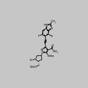 CNc1c(C(N)=O)c(C#Cc2c(F)cc3[nH]c(C)nc3c2F)nn1[C@H]1C[C@H](COC)N(C(C)=O)C1